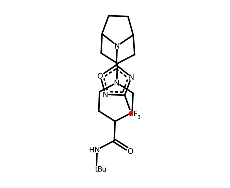 CC(C)(C)NC(=O)C1CCN(C2CC3CCC(C2)N3c2nc(C(F)(F)F)no2)CC1